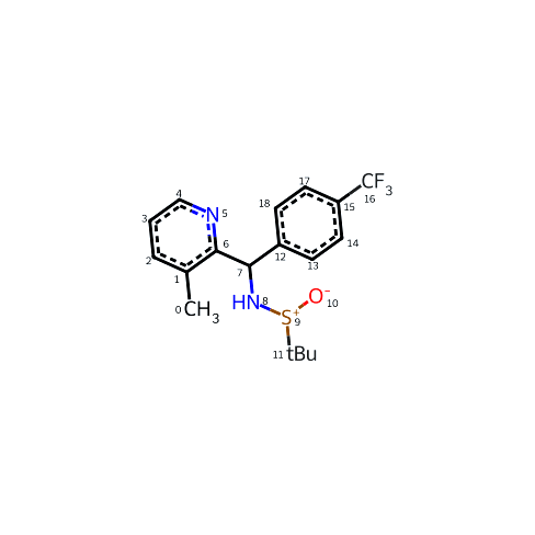 Cc1cccnc1C(N[S+]([O-])C(C)(C)C)c1ccc(C(F)(F)F)cc1